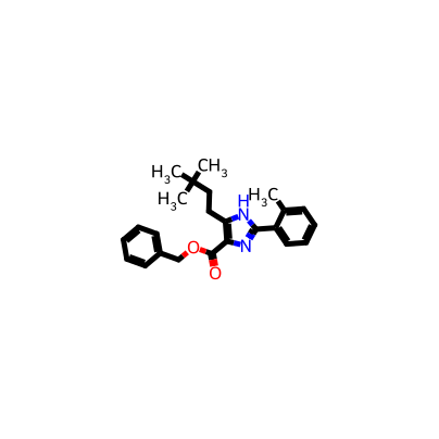 Cc1ccccc1-c1nc(C(=O)OCc2ccccc2)c(CCC(C)(C)C)[nH]1